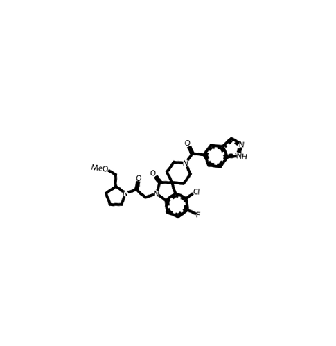 COCC1CCCN1C(=O)CN1C(=O)C2(CCN(C(=O)c3ccc4[nH]ncc4c3)CC2)c2c1ccc(F)c2Cl